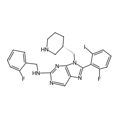 Fc1ccccc1CNc1ncc2nc(-c3c(F)cccc3I)n(C[C@H]3CCCNC3)c2n1